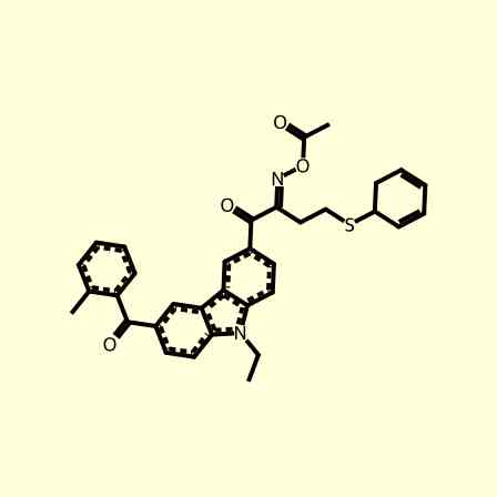 CCn1c2ccc(C(=O)/C(CCSC3C=CC=CC3)=N/OC(C)=O)cc2c2cc(C(=O)c3ccccc3C)ccc21